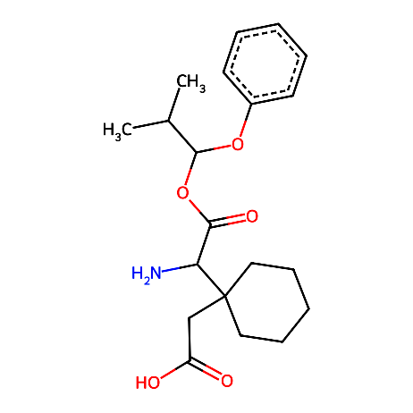 CC(C)C(OC(=O)C(N)C1(CC(=O)O)CCCCC1)Oc1ccccc1